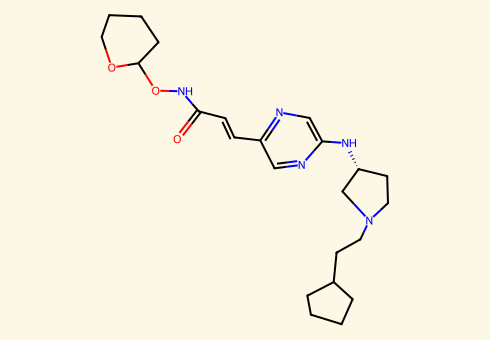 O=C(C=Cc1cnc(N[C@@H]2CCN(CCC3CCCC3)C2)cn1)NOC1CCCCO1